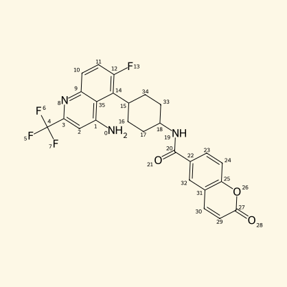 Nc1cc(C(F)(F)F)nc2ccc(F)c(C3CCC(NC(=O)c4ccc5oc(=O)ccc5c4)CC3)c12